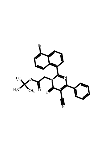 CC(C)(C)OC(=O)Cn1c(-c2cccc3c(Br)cccc23)nc(-c2ccccc2)c(C#N)c1=O